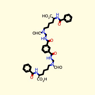 O=CN(CCCC[C@H](NC(=O)c1ccccc1)C(=O)O)CNC(=O)c1cccc(C(=O)NCN(C=O)CCCC[C@H](NC(=O)c2ccccc2)C(=O)O)c1